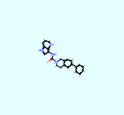 O=C(Nc1c[nH]c2cccnc12)N1CCc2cc(-c3ccccc3)ccc2C1